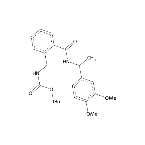 COc1ccc(C(C)NC(=O)c2ccccc2CNC(=O)OC(C)(C)C)cc1OC